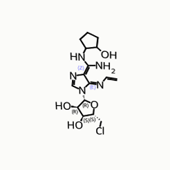 C=C/N=C1\C(=C(/N)NC2CCCC2O)N=CN1[C@@H]1O[C@H](CCl)[C@@H](O)[C@H]1O